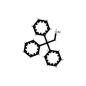 CC(=O)OCC(c1ccccc1)(c1ccccc1)c1ccccc1